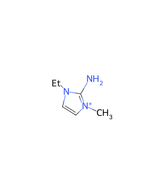 CCn1cc[n+](C)c1N